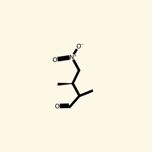 CC(C=O)[C@@H](C)C[N+](=O)[O-]